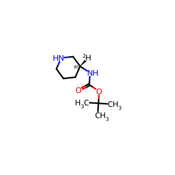 [2H][C@@]1(NC(=O)OC(C)(C)C)CCCNC1